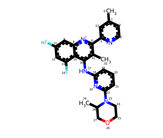 Cc1ccnc(-c2nc3cc(F)cc(F)c3c(Nc3cccc(N4CCOCC4C)n3)c2C)c1